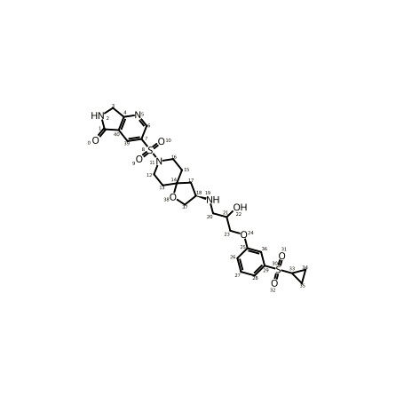 O=C1NCc2ncc(S(=O)(=O)N3CCC4(CC3)C[C@@H](NCC(O)COc3cccc(S(=O)(=O)C5CC5)c3)CO4)cc21